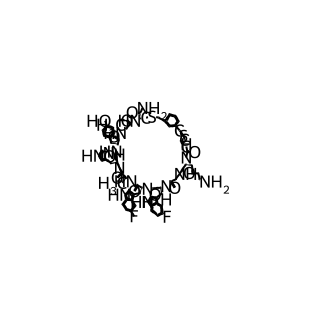 C[C@@H]1NC(=O)[C@H](Cc2c[nH]c3ccc(F)cc23)NC(=O)[C@H](Cc2c[nH]c3ccc(F)cc23)NC(=O)CNC(=O)[C@H](CCCCN)NC(=O)CCSCc2cccc(c2)CSC[C@@H](C(N)=O)NC(=O)[C@H](C)NC(=O)[C@H](Cc2ccc(O)cc2)NC(=O)[C@H](Cc2c[nH]cn2)NC1=O